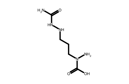 NC(=O)NNCCCN(N)C(=O)O